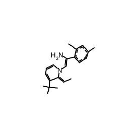 C/C=C1/C(C(C)(C)C)=CC=CN1/C=C(\N)c1ccc(C)cc1C